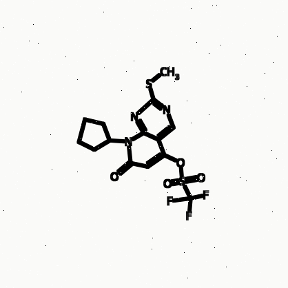 CSc1ncc2c(OS(=O)(=O)C(F)(F)F)cc(=O)n(C3CCCC3)c2n1